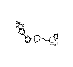 CS(=O)(=O)Nc1ccc(-c2cccc(N3CCC(CCN(Cc4cscn4)C(=O)O)CC3)n2)cc1